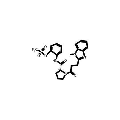 Cn1c(CCC(=O)N2CCC[C@@H]2C(=O)Nc2ccccc2OS(=O)(=O)C(F)(F)F)nc2ccccc21